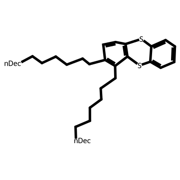 CCCCCCCCCCCCCCCCc1ccc2c(c1CCCCCCCCCCCCCCCC)Sc1ccccc1S2